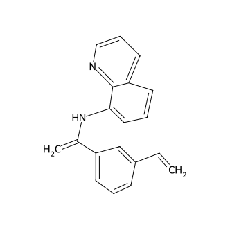 C=Cc1cccc(C(=C)Nc2cccc3cccnc23)c1